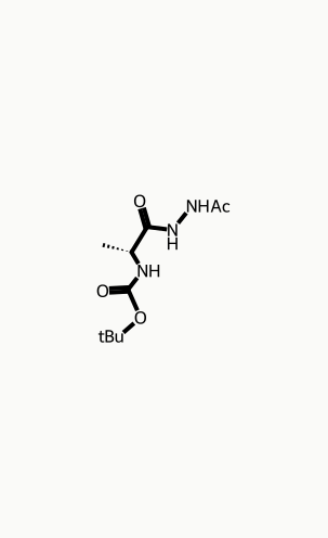 CC(=O)NNC(=O)[C@@H](C)NC(=O)OC(C)(C)C